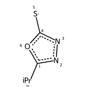 CC(C)c1nnc([S])o1